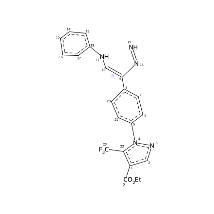 CCOC(=O)c1cnn(-c2ccc(/C(=C/Nc3ccccc3)N=N)cc2)c1C(F)(F)F